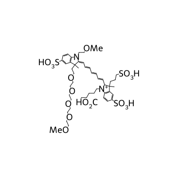 COCCOCCOCCOCCOCCC1(C)\C(=C/C=C/C=C/C=C/C2=[N+](CCCCCC(=O)O)c3ccc(S(=O)(=O)O)cc3C2(C)CCCS(=O)(=O)O)N(CCOC)c2ccc(S(=O)(=O)O)cc21